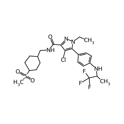 CCn1nc(C(=O)NCC2CCC(S(C)(=O)=O)CC2)c(Cl)c1-c1ccc(NC(C)C(F)(F)F)cc1